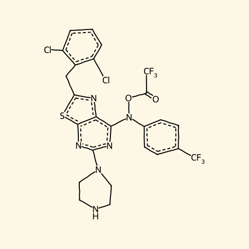 O=C(ON(c1ccc(C(F)(F)F)cc1)c1nc(N2CCNCC2)nc2sc(Cc3c(Cl)cccc3Cl)nc12)C(F)(F)F